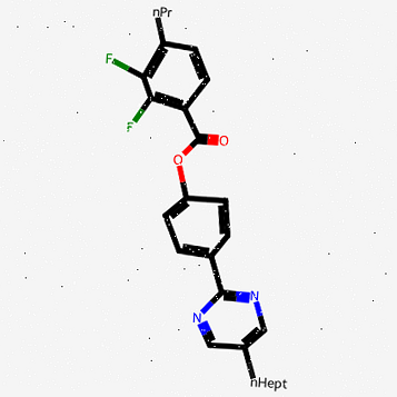 CCCCCCCc1cnc(-c2ccc(OC(=O)c3ccc(CCC)c(F)c3F)cc2)nc1